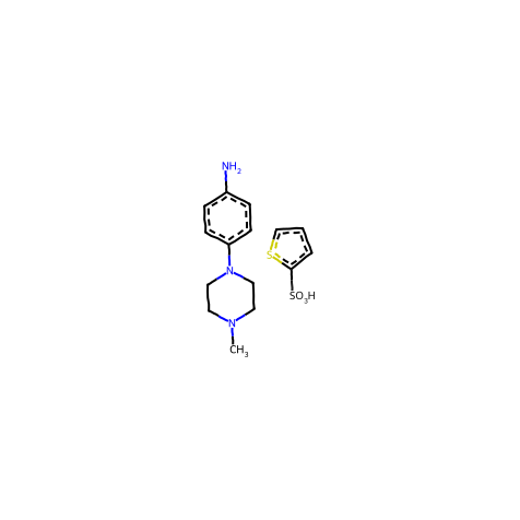 CN1CCN(c2ccc(N)cc2)CC1.O=S(=O)(O)c1cccs1